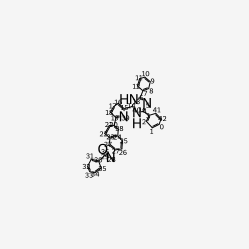 c1ccc(C2=NC(c3ccccc3)NC(c3cccc(-c4ccc5c(ccc6nc(-c7ccccc7)oc65)c4)n3)N2)cc1